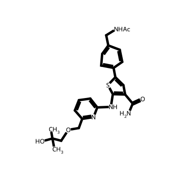 CC(=O)NCc1ccc(-c2cc(C(N)=O)c(Nc3cccc(COCC(C)(C)O)n3)s2)cc1